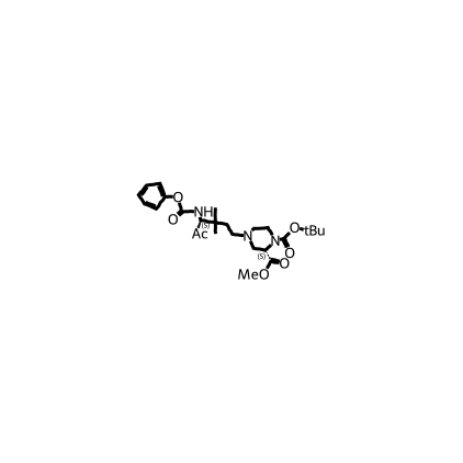 COC(=O)[C@@H]1CN(CCC(C)(C)[C@H](NC(=O)Oc2ccccc2)C(C)=O)CCN1C(=O)OC(C)(C)C